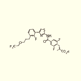 C/C(=C\c1c(F)cc(C(=O)Nc2nc(-c3cccc(CCCOCC(F)(F)F)c3F)cs2)cc1F)C(=O)O